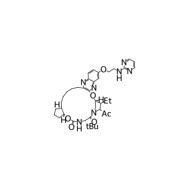 CC[C@@H]1[C@@H]2CN(C(=O)[C@H](C(C)(C)C)NC(=O)O[C@@H]3CCC[C@H]3CCCCCc3nc4ccc(OCCNc5ncccn5)cc4nc3O2)[C@@H]1C(C)=O